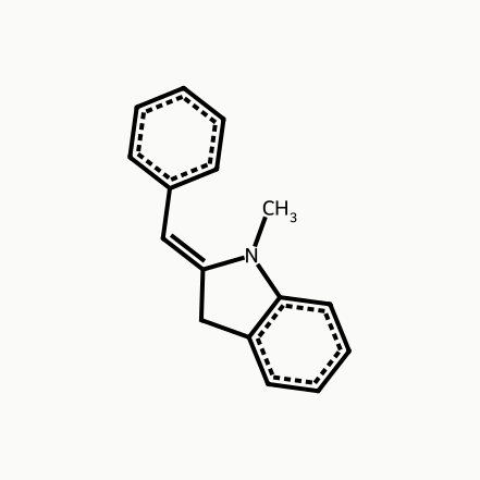 CN1C(=Cc2ccccc2)Cc2ccccc21